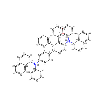 c1ccc(-c2c(-c3ccc(N(c4ccccc4)c4cccc5ccccc45)cc3)ccc(N(c3ccccc3)c3cccc4ccccc34)c2-c2ccccc2)cc1